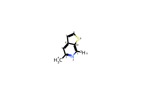 [2H]c1nc(C)cc2ccsc12